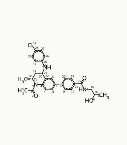 CC(=O)N1c2ccc(-c3ccc(C(=O)NCC(C)O)cc3)cc2[C@H](Nc2ccc(Cl)cc2)C[C@@H]1C